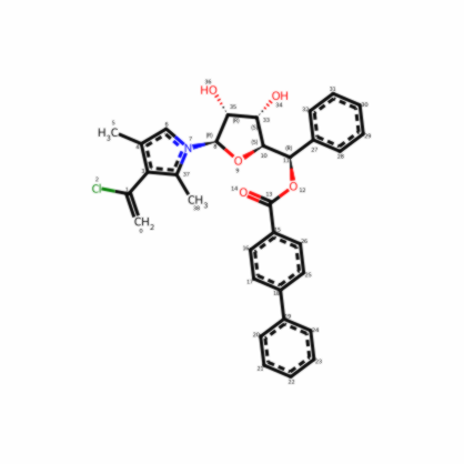 C=C(Cl)c1c(C)cn([C@@H]2O[C@H]([C@H](OC(=O)c3ccc(-c4ccccc4)cc3)c3ccccc3)[C@@H](O)[C@H]2O)c1C